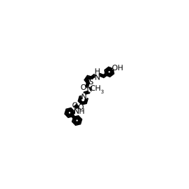 CN(CCN1CCC(OC(=O)Nc2ccccc2-c2ccccc2)CC1)C(=O)c1ccc(CNCCc2ccc(O)cc2)s1